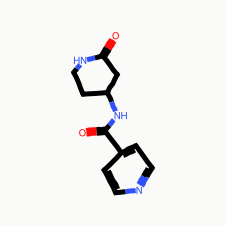 O=C1CC(NC(=O)c2[c]cncc2)CCN1